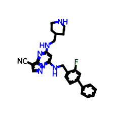 N#Cc1cnn2c(NCc3ccc(-c4ccccc4)cc3F)cc(NCC3CCNCC3)nc12